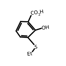 CCSc1cccc(C(=O)O)c1O